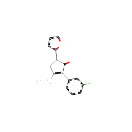 CNC1=C(c2cccc(Cl)c2)C(=O)C(c2ccco2)C1